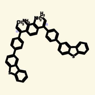 C/C=C(/c1ccc(-c2ccc3sc4ccccc4c3c2)cc1)c1ccc(/C(=C\C)c2ccc(-c3ccc4sc5ccccc5c4c3)cc2)c(N)c1N